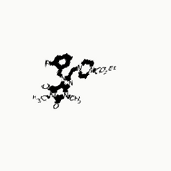 CCOC(=O)N1CCN(Cc2nc3c(c(=O)n(C)c(=O)n3C)n2Cc2ccccc2F)CC1